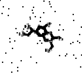 CCOC(C)Oc1c(O)cc(C(C)CC)cc1O